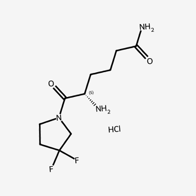 Cl.NC(=O)CCC[C@H](N)C(=O)N1CCC(F)(F)C1